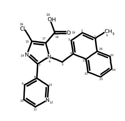 Cc1ccc(Cn2c(-c3cccnc3)nc(Cl)c2C(=O)O)c2ccccc12